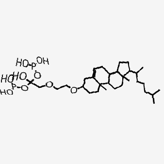 CC(C)CCCC(C)C1CCC2C3CC=C4CC(OCCOCC(O)(OP(O)O)OP(O)O)CCC4(C)C3CCC12C